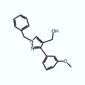 COc1cccc(-c2nn(Cc3ccccc3)cc2CO)c1